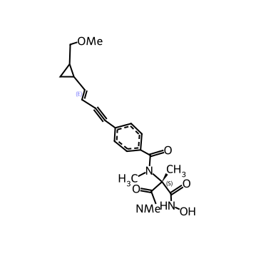 CNC(=O)[C@@](C)(C(=O)NO)N(C)C(=O)c1ccc(C#C/C=C/C2CC2COC)cc1